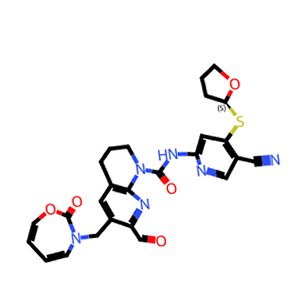 N#Cc1cnc(NC(=O)N2CCCc3cc(CN4C=CC=COC4=O)c(C=O)nc32)cc1S[C@H]1CCCO1